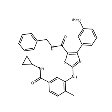 COc1cccc(-c2nc(Nc3cc(C(=O)NC4CC4)ccc3C)sc2C(=O)NCc2ccccc2)c1